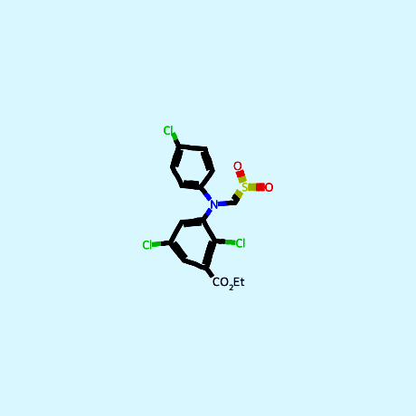 CCOC(=O)c1cc(Cl)cc(N(C=S(=O)=O)c2ccc(Cl)cc2)c1Cl